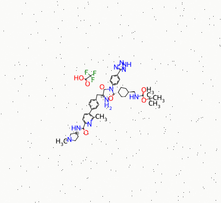 Cc1nc(C(=O)N[C@@H]2CCN(C)C2)ccc1-c1ccc(C[C@H](N)C(=O)N(c2ccc(-c3nn[nH]n3)cc2)C(=O)[C@H]2CC[C@H](CNC(=O)OC(C)(C)C)CC2)cc1.O=C(O)C(F)(F)F